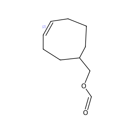 O=COCC1CC/C=C\CCC1